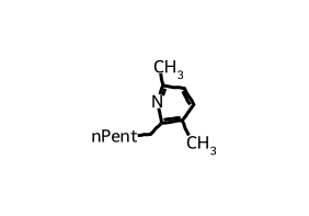 CCCCCCc1nc(C)ccc1C